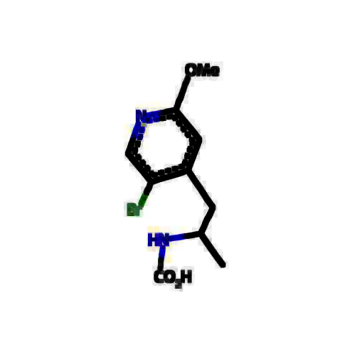 COc1cc(CC(C)NC(=O)O)c(Br)cn1